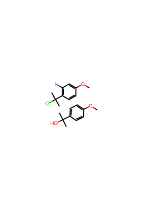 COc1ccc(C(C)(C)Cl)c(I)c1.COc1ccc(C(C)(C)O)cc1